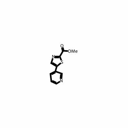 COC(=O)c1ncc(-c2cccnc2)s1